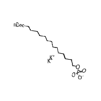 CCCCCCCCCCCCCCCCCCCCCCCCOP(=O)([O-])[O-].[K+].[K+]